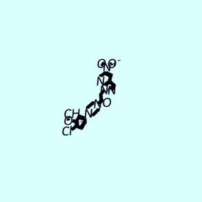 COc1cc(N2CCN(C(=O)Cn3ncc4cc([N+](=O)[O-])cnc43)CC2)ccc1Cl